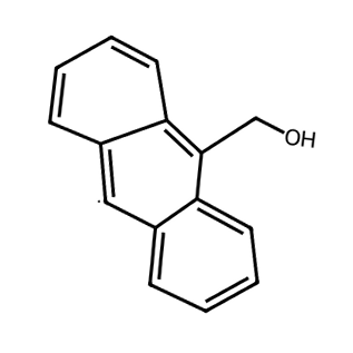 OCc1c2ccccc2[c]c2ccccc12